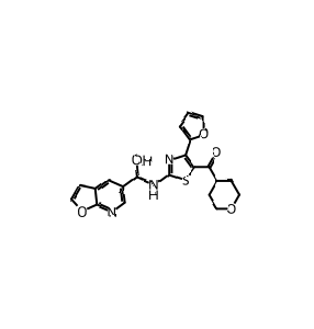 O=C(c1sc(NC(O)c2cnc3occc3c2)nc1-c1ccco1)C1CCOCC1